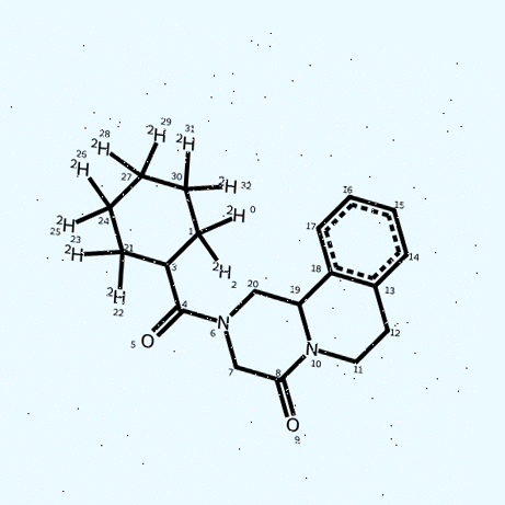 [2H]C1([2H])C(C(=O)N2CC(=O)N3CCc4ccccc4C3C2)C([2H])([2H])C([2H])([2H])C([2H])([2H])C1([2H])[2H]